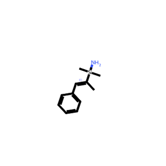 C/C(=C\c1ccccc1)[Si](C)(C)N